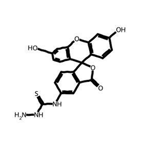 NNC(=S)Nc1ccc2c(c1)C(=O)OC21c2ccc(O)cc2Oc2cc(O)ccc21